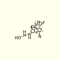 CCN1C(=O)N(c2c(F)cc(NCCNCCO)cc2F)c2cc(C#N)c(C)cc2-c2cc(F)cnc21